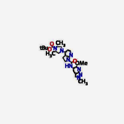 COc1nc2nn(C)cc2cc1NC(=O)N1CCc2c(N3C[C@@H](C)N(C(=O)OC(C)(C)C)[C@@H](C)C3)ccnc21